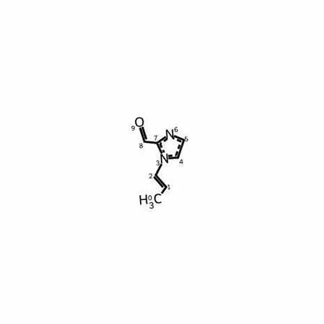 CC=Cn1ccnc1C=O